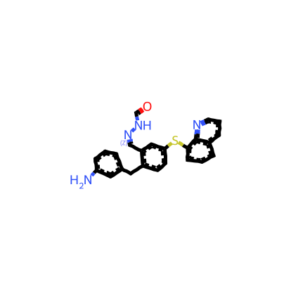 Nc1cccc(Cc2ccc(Sc3cccc4cccnc34)cc2/C=N\NC=O)c1